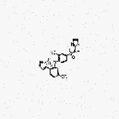 Cn1nccc1-c1ccc(C(F)(F)F)cc1Oc1ccc(S(=O)(=O)Nc2nccs2)cc1C#N